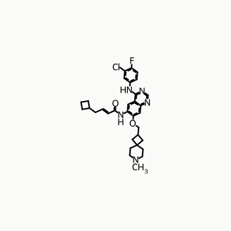 CN1CCC2(CC1)CC(COc1cc3ncnc(Nc4ccc(F)c(Cl)c4)c3cc1NC(=O)/C=C/CC1CCC1)C2